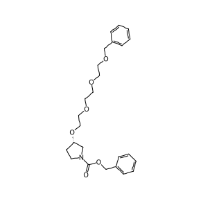 O=C(OCc1ccccc1)N1CC[C@H](OCCOCCOCCOCc2ccccc2)C1